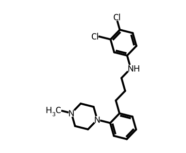 CN1CCN(c2ccccc2CCCNc2ccc(Cl)c(Cl)c2)CC1